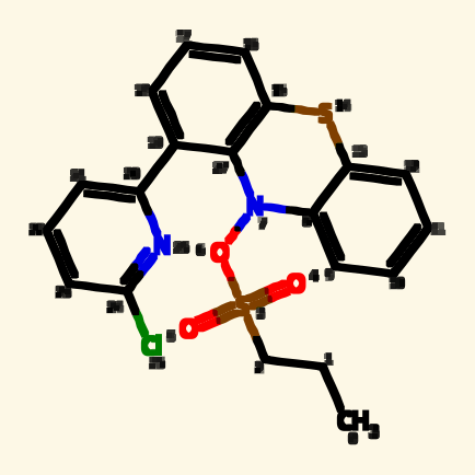 CCCS(=O)(=O)ON1c2ccccc2Sc2cccc(-c3cccc(Cl)n3)c21